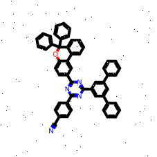 N#Cc1ccc(-c2nc(-c3cc(-c4ccccc4)cc(-c4ccccc4)c3)nc(-c3ccc4c(c3)-c3ccccc3C(c3ccccc3)(c3ccccc3)O4)n2)cc1